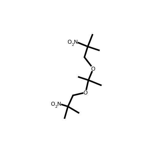 CC(C)(OCC(C)(C)[N+](=O)[O-])OCC(C)(C)[N+](=O)[O-]